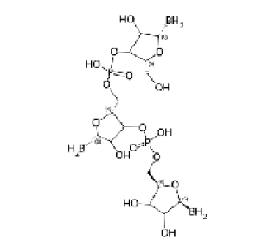 B[C@@H]1O[C@H](COP(=O)(O)OC2C(O)[C@H](B)O[C@@H]2COP(=O)(O)OC2C(O)[C@H](B)O[C@@H]2CO)C(O)C1O